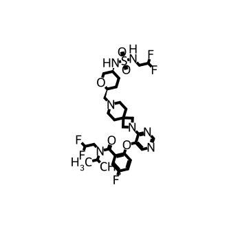 CC(C)N(CC(F)F)C(=O)c1cc(F)ccc1Oc1cncnc1N1CC2(CCN(C[C@@H]3CC[C@@H](NS(=O)(=O)NCC(F)F)CO3)CC2)C1